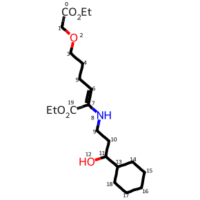 CCOC(=O)COCCC/C=C(/NCCC(O)C1CCCCC1)C(=O)OCC